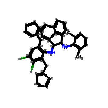 Cc1cccc(C)c1NC1c2cccc3cccc(c23)C1Nc1c(Cc2ccccc2)cc(F)c(F)c1Cc1ccccc1